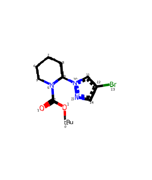 CC(C)(C)OC(=O)N1CCCCC1n1cc(Br)cn1